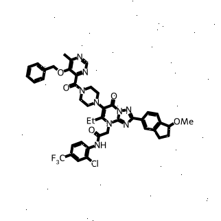 CCc1c(N2CCN(C(=O)c3ncnc(C)c3OCc3ccccc3)CC2)c(=O)n2nc(-c3ccc4c(c3)CCC4OC)nc2n1CC(=O)Nc1ccc(C(F)(F)F)cc1Cl